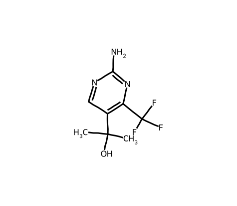 CC(C)(O)c1cnc(N)nc1C(F)(F)F